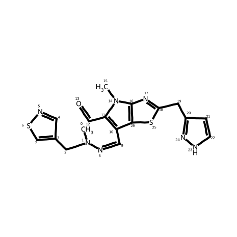 CN(Cc1cnsc1)/N=C\c1c(C=O)n(C)c2nc(Cc3cc[nH]n3)sc12